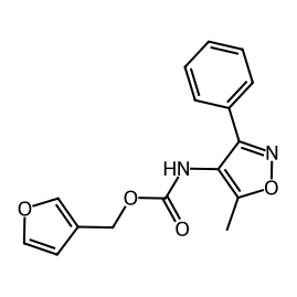 Cc1onc(-c2ccccc2)c1NC(=O)OCc1ccoc1